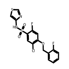 O=S(=O)(Nc1cscn1)c1cc(Cl)c(OCc2ccccc2F)cc1F